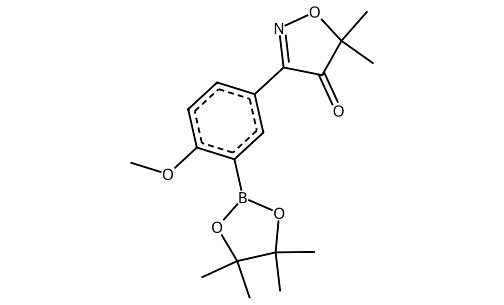 COc1ccc(C2=NOC(C)(C)C2=O)cc1B1OC(C)(C)C(C)(C)O1